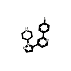 Fc1ccc(-c2cc(-c3ccnn3C3CCNCC3)ccn2)cc1